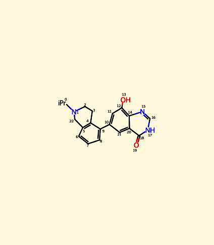 CC(C)N1CCc2c(cccc2-c2cc(O)c3nc[nH]c(=O)c3c2)C1